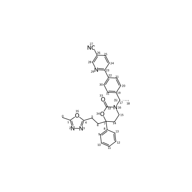 Cc1nnc(CCC2(c3ccccc3)CCN([C@@H](C)c3ccc(-c4ccc(C#N)cn4)cc3)C(=O)O2)o1